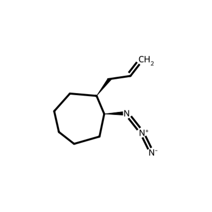 C=CC[C@@H]1CCCCC[C@@H]1N=[N+]=[N-]